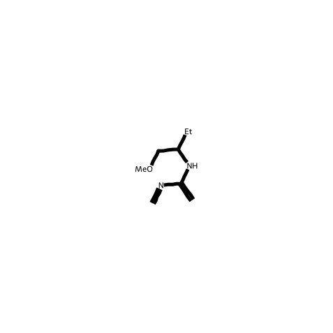 C=NC(=C)NC(CC)COC